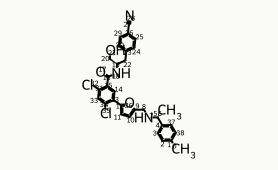 Cc1ccc([C@@H](C)NCc2ccc(-c3cc(C(=O)N[C@@H](CO)Cc4ccc(C#N)cc4)c(Cl)cc3Cl)o2)cc1